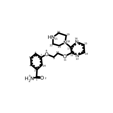 NC(=O)c1cccc(OCCOc2nccnc2N2CCNCC2)c1